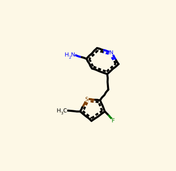 Cc1cc(F)c(Cc2cncc(N)c2)s1